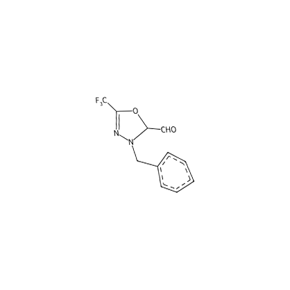 O=CC1OC(C(F)(F)F)=NN1Cc1ccccc1